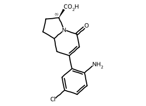 Nc1ccc(Cl)cc1C1=CC(=O)N2C(CC[C@H]2C(=O)O)C1